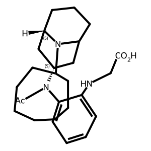 CC(=O)N(c1ccccc1NCC(=O)O)[C@H]1CC2CCC[C@@H](C1)N2C1CCCCCCC1